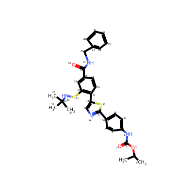 CC(C)OC(=O)Nc1ccc(-c2ncc(-c3ccc(C(=O)NCc4ccccc4)cc3SNC(C)(C)C)s2)cc1